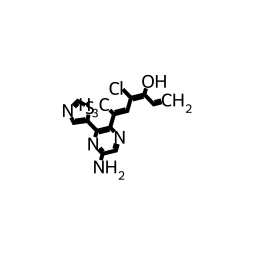 C=C/C(O)=C(Cl)\C=C(/C)c1ncc(N)nc1-c1cncs1